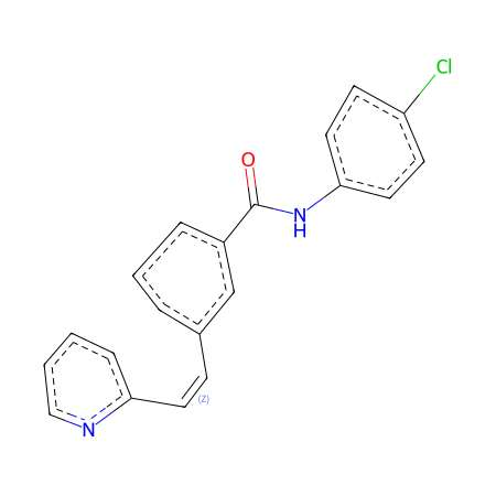 O=C(Nc1ccc(Cl)cc1)c1cccc(/C=C\c2ccccn2)c1